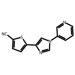 N#Cc1ccc(-c2cn(-c3cccnc3)cn2)s1